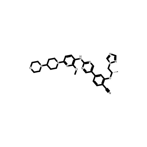 COc1nc(N2CCC(N3CCOCC3)CC2)ccc1Nc1ncc(-c2ccc(C#N)c(O[C@@H](C)Cn3cncn3)c2)cn1